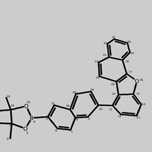 CC1(C)OB(c2ccc3cc(-c4cccc5oc6c7ccccc7ccc6c45)ccc3c2)OC1(C)C